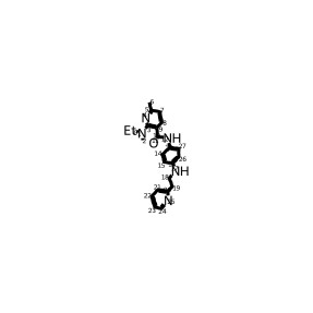 CCN(C)c1nc(C)ccc1C(=O)Nc1ccc(NCCc2ccccn2)cc1